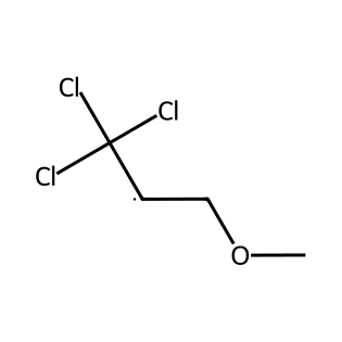 COC[CH]C(Cl)(Cl)Cl